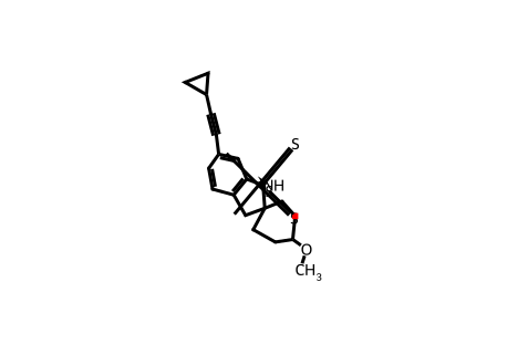 COC1CCC2(CC1)Cc1ccc(C#CC3CC3)cc1C21NC(=S)SC1=S